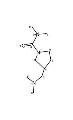 CN(C)CC1CCN(C(=O)N(C)C)C1